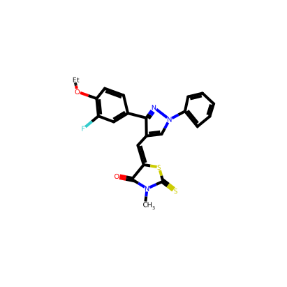 CCOc1ccc(-c2nn(-c3ccccc3)cc2/C=C2\SC(=S)N(C)C2=O)cc1F